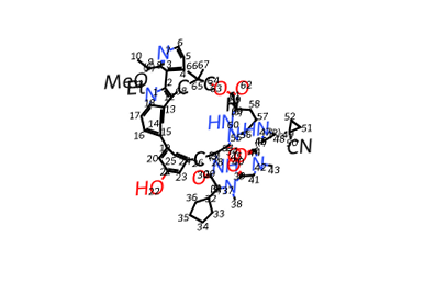 CCn1c(-c2cccnc2[C@H](C)OC)c2c3cc(ccc31)-c1cc(O)cc(c1)C[C@H](NC(=O)[C@H](C1CCCC1)N(C)C(=O)CN(C)C(=O)[C@@H]1N[C@@H]1C1(C#N)CC1)C(=O)N1CCC[C@H](N1)C(=O)OCC(C)(C)C2